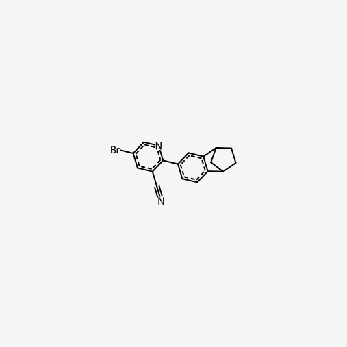 N#Cc1cc(Br)cnc1-c1ccc2c(c1)C1CCC2C1